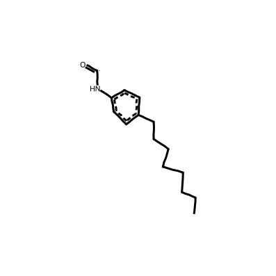 CCCCCCCCc1ccc(N[C]=O)cc1